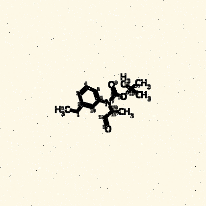 CCc1cccc(N(C(=O)OC(C)(C)C)[C@@H](C)C=O)c1